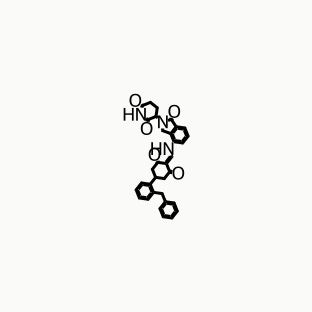 O=C1CCC(N2Cc3c(NC=C4C(=O)CC(c5ccccc5Cc5ccccc5)CC4=O)cccc3C2=O)C(=O)N1